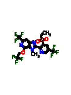 CCS(=O)(=O)c1cc(C(F)(F)F)cnc1-c1nc2cc(C(F)(F)F)nc(OCC(F)(F)F)c2n1C